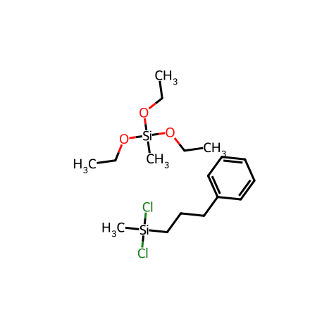 CCO[Si](C)(OCC)OCC.C[Si](Cl)(Cl)CCCc1ccccc1